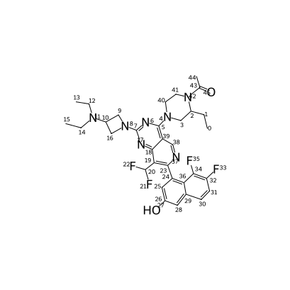 CCC1CN(c2nc(N3CC(N(CC)CC)C3)nc3c(C(F)F)c(-c4cc(O)cc5ccc(F)c(F)c45)ncc23)CCN1C(C)=O